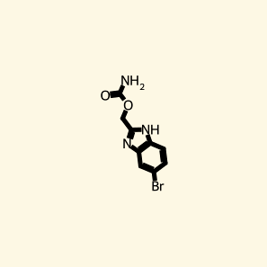 NC(=O)OCc1nc2cc(Br)ccc2[nH]1